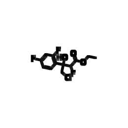 CCOC(=O)C(F)C(O)(CCl)c1ccc(F)cc1F